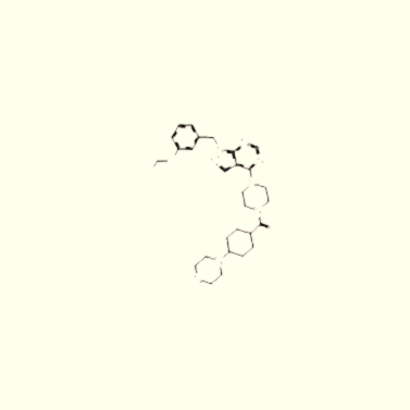 CCOc1cccc(Cn2ncc3c(N4CCN(C(=O)C5CCC(N6CCNCC6)CC5)CC4)ncnc32)c1